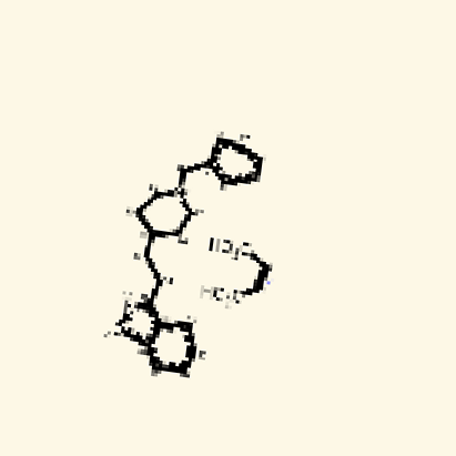 O=C(O)/C=C\C(=O)O.c1ccc(CN2CCC(CCc3noc4ccccc34)CC2)cc1